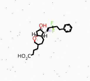 O=C(O)CCCC1CC[C@@H]2[C@@H](/C=C/C(F)(F)CCc3ccccc3)[C@H](O)C[C@@H]2OC1